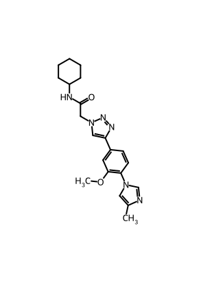 COc1cc(-c2cn(CC(=O)NC3CCCCC3)nn2)ccc1-n1cnc(C)c1